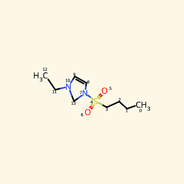 CCCCS(=O)(=O)N1C=CN(CC)C1